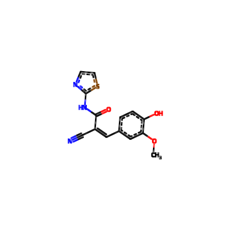 COc1cc(/C=C(/C#N)C(=O)Nc2nccs2)ccc1O